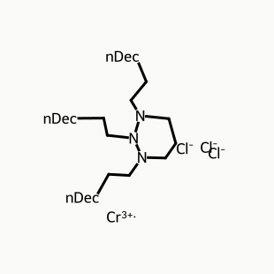 CCCCCCCCCCCCN1CCCN(CCCCCCCCCCCC)N1CCCCCCCCCCCC.[Cl-].[Cl-].[Cl-].[Cr+3]